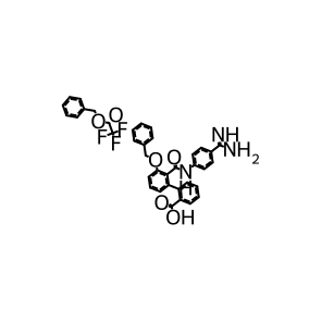 N=C(N)c1ccc(NC(=O)c2c(OCc3ccccc3)cccc2-c2ccccc2C(=O)O)cc1.O=C(OCc1ccccc1)C(F)(F)F